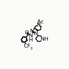 CC(=O)N1CCc2c(nc(NC(=O)c3cccc(C(F)(F)F)c3)n2C2CCCNC2)C1